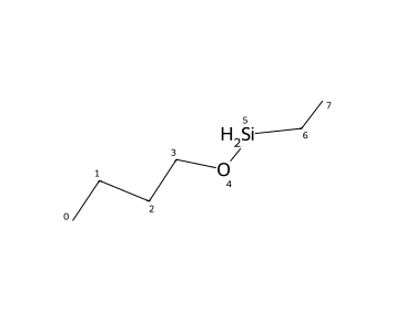 CCCCO[SiH2]CC